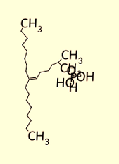 CCCCCCCCC(=CCCCC(C)C)CCCCCCCC.O=[PH](O)O